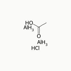 CC(=O)O.Cl.[AlH3].[AlH3]